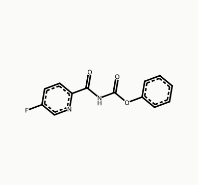 O=C(NC(=O)c1ccc(F)cn1)Oc1ccccc1